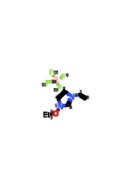 C=C[n+]1ccn(OCC)c1.F[B-](F)(F)F